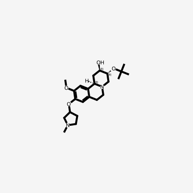 COc1cc2c(cc1OC1CCN(C)C1)CCN1C[C@@H](OC(C)(C)C)[C@H](O)C[C@H]21